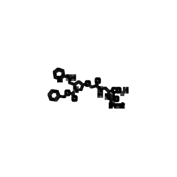 CCCC(C)C(=O)NC(CNC(=O)COC1CC(CNc2ccccn2)N(C(=O)OCc2ccccc2)C1)C(=O)O